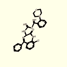 N=C(NC1N=C(c2ccccc2)c2cccc(Cl)c2NC1=O)OC(=N)c1ccccc1N1CCOCC1